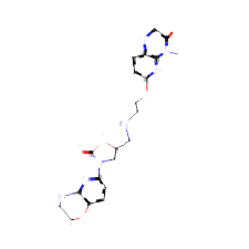 Cn1c(=O)cnc2ccc(OCCNCC3CN(c4ccc5c(n4)NCCO5)C(=O)O3)nc21